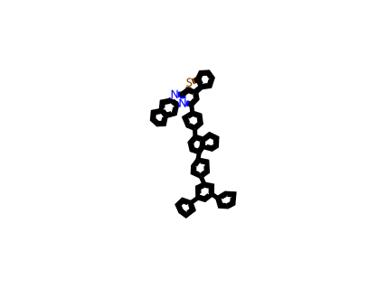 c1ccc(-c2cc(-c3ccccc3)cc(-c3ccc(-c4ccc(-c5ccc(-c6cc7c8ccccc8sc7c7nc8cc9ccccc9cc8n67)cc5)c5ccccc45)cc3)c2)cc1